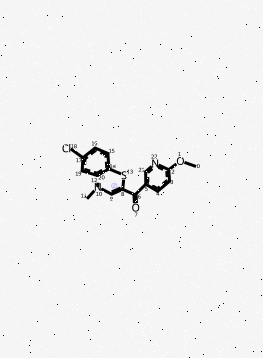 COc1ccc(C(=O)/C(=C/N(C)C)Sc2ccc(Cl)cc2)cn1